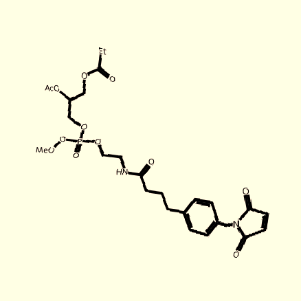 CCC(=O)OCC(COP(=O)(OCCNC(=O)CCCc1ccc(N2C(=O)C=CC2=O)cc1)OOC)OC(C)=O